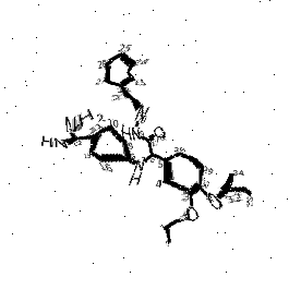 CCOc1cc(C(Nc2ccc(C(=N)N)cc2)C(=O)N/N=C/c2ccccc2)ccc1OC(C)C